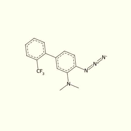 CN(C)c1cc(-c2ccccc2C(F)(F)F)ccc1N=[N+]=[N-]